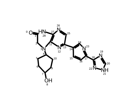 O=C1CN(C2CCC(O)CC2)c2nc(-c3ccc(-c4nc[nH]n4)nc3)cnc2N1